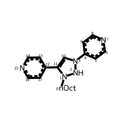 CCCCCCCCN1NN(c2ccncc2)C=C1c1ccncc1